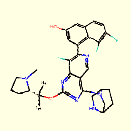 [2H]C([2H])(Oc1nc(N2CC3CCC2CN3)c2cnc(-c3cc(O)cc4ccc(F)c(F)c34)c(F)c2n1)[C@@H]1CCCN1C